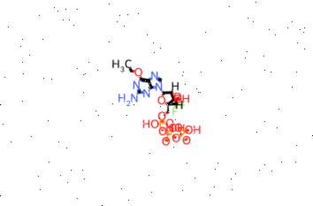 CCOc1nc(N)nc2c1ncn2[C@@H]1O[C@]2(COP(=O)(O)OP(=O)(O)OP(=O)(O)O)[C@@H](O)[C@H]1OC2(F)F